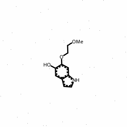 COCCOc1cc2[nH]ccc2cc1O